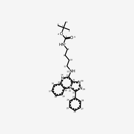 CC(C)(C)OC(=O)NCCCCNc1nc2ccccc2n2c(-c3ccccc3)nnc12